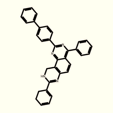 C1=CCCC(C2=Nc3ccc4c(-c5ccccc5)nc(-c5ccc(-c6ccccc6)cc5)nc4c3CN2)=C1